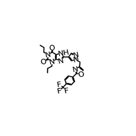 CCCn1c(=O)c2[nH]c(-c3cnn(Cc4coc(-c5ccc(C(F)(F)F)cc5)n4)c3)nc2n(CCC)c1=O